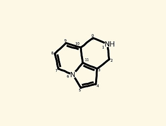 [CH]1NCc2ccn3cccc1c23